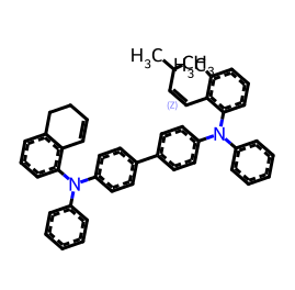 Cc1cccc(N(c2ccccc2)c2ccc(-c3ccc(N(c4ccccc4)c4cccc5c4C=CCC5)cc3)cc2)c1/C=C\C(C)C